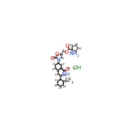 Cl.NC1(C(=O)OC[C@H]2CN(c3ccc4cc(-c5ccccc5C(F)(F)F)[nH]c(=O)c4c3)C(=O)O2)CCCC1